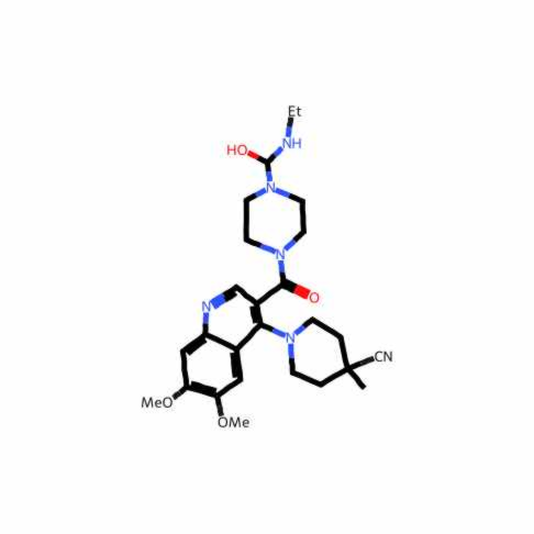 CCNC(O)N1CCN(C(=O)c2cnc3cc(OC)c(OC)cc3c2N2CCC(C)(C#N)CC2)CC1